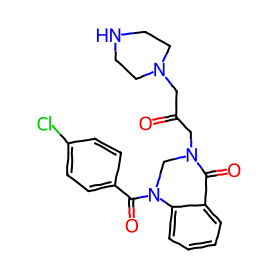 O=C(CN1CCNCC1)CN1CN(C(=O)c2ccc(Cl)cc2)c2ccccc2C1=O